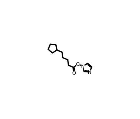 O=C(CCCCC1CCCC1)On1ccnc1